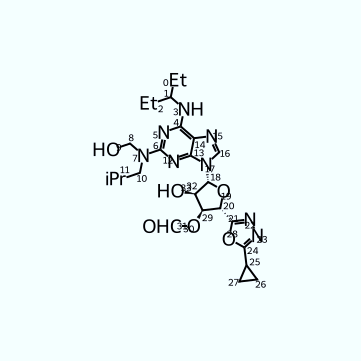 CCC(CC)Nc1nc(N(CO)CC(C)C)nc2c1ncn2[C@@H]1O[C@H](c2nnc(C3CC3)o2)[C@@H](OC=O)[C@H]1O